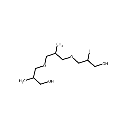 CC(CO)COCC(C)COCC(I)CO